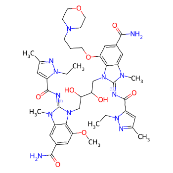 CCn1nc(C)cc1C(=O)/N=c1\n(C)c2cc(C(N)=O)cc(OC)c2n1CC(O)C(O)Cn1/c(=N/C(=O)c2cc(C)nn2CC)n(C)c2cc(C(N)=O)cc(OCCCN3CCOCC3)c21